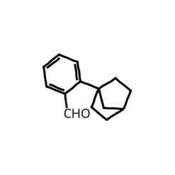 O=Cc1ccccc1C12CCC(CC1)C2